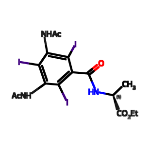 CCOC(=O)[C@H](C)NC(=O)c1c(I)c(NC(C)=O)c(I)c(NC(C)=O)c1I